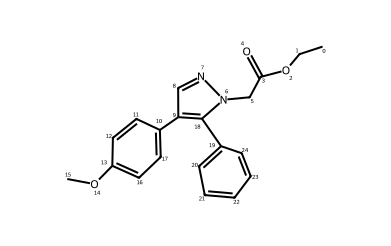 CCOC(=O)Cn1ncc(-c2ccc(OC)cc2)c1-c1ccccc1